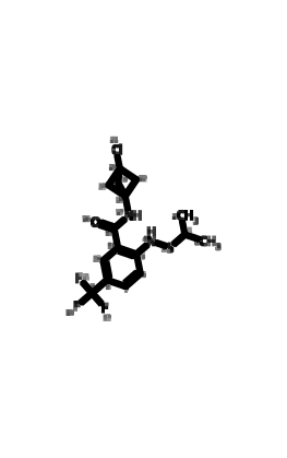 CC(C)SNc1ccc(C(F)(F)F)cc1C(=O)NC12CC(Cl)(C1)C2